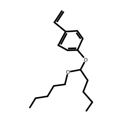 C=Cc1ccc(OC(CCCC)OCCCCC)cc1